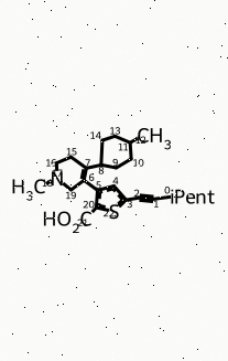 CCCC(C)C#Cc1cc(C2=C(C3CCC(C)CC3)CCN(C)C2)c(C(=O)O)s1